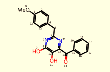 COc1ccc(Cc2nc(O)c(O)c(C(=O)c3ccccc3)n2)cc1